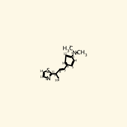 CN(C)c1ccc(C=CC(I)c2nccs2)cc1